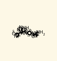 COc1cc(-c2cc(C(=O)NC3CCC(NC(=O)C4(CN)CC4)CC3)c3c(N)ncnn23)ccn1